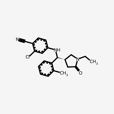 CCN1C[C@@H](C(Nc2ccc(C#N)c(Cl)c2)c2ccccc2C)CC1=O